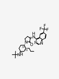 CCC[C@H]1C[C@@H](NC(C)(C)C)CC[C@@H]1N1CC[C@H](Nc2ncnc3ccc(C(F)(F)F)cc23)C1=O